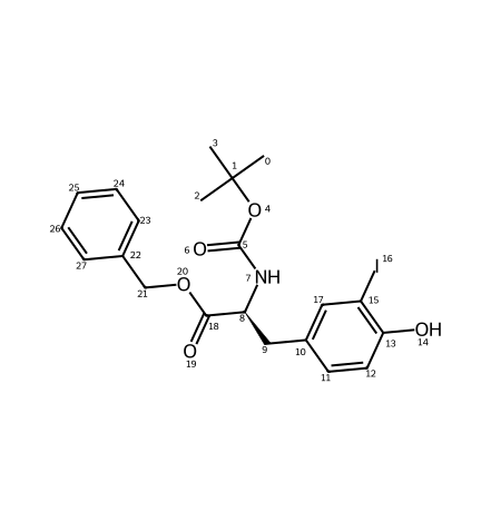 CC(C)(C)OC(=O)N[C@@H](Cc1ccc(O)c(I)c1)C(=O)OCc1ccccc1